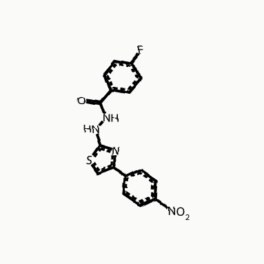 O=C(NNc1nc(-c2ccc([N+](=O)[O-])cc2)cs1)c1ccc(F)cc1